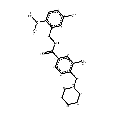 CC[S+]([O-])c1ccc(Cl)cc1CNC(=O)c1ccc(CN2CCCCC2)c(C(F)(F)F)c1